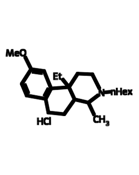 CCCCCCN1CCC2(CC)c3cc(OC)ccc3CCC2C1C.Cl